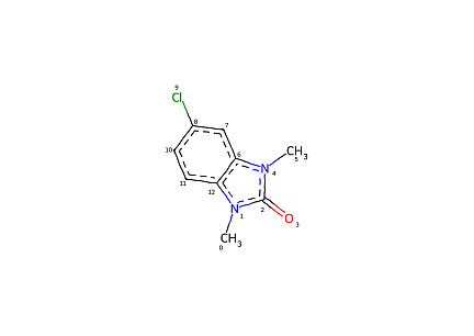 Cn1c(=O)n(C)c2cc(Cl)ccc21